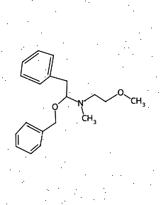 COCCN(C)C(Cc1ccccc1)OCc1ccccc1